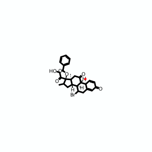 CC1C[C@H]2[C@@H]3C(Br)CC4=CC(=O)C=C[C@]4(C)[C@H]3C(=O)C[C@]2(C)[C@@]1(OC(=O)c1ccccc1)C(=O)CO